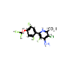 Nc1c(F)c(-c2cc(F)c(OC(F)F)cc2F)nc(C(=O)O)c1Cl